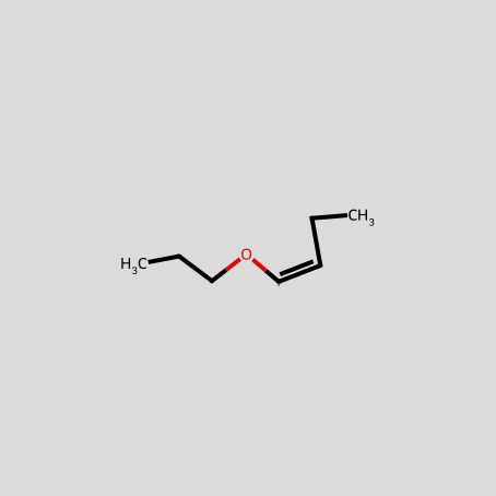 CC/C=[C]\OCCC